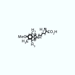 COc1cc(C)c(S(=O)(=O)NCCCC[C@H](N)C(=O)O)c(C)c1C